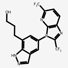 OCCCc1cc(-n2c(C(F)(F)F)nc3ccc(C(F)(F)F)nc32)cc2cn[nH]c12